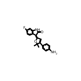 CC1(C)O/C(=C2/C(=O)Nc3cc(F)ccc32)C=C1c1ccc(N)cc1